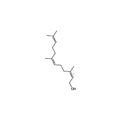 CC(C)=CCCC(C)=CCC/C(C)=C\CO